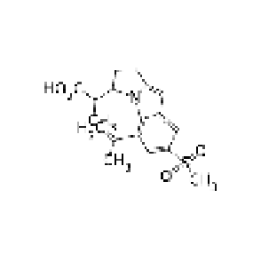 C=C(C)c1cc(S(C)(=O)=O)cc2cc3n(c12)C(C(C)C(=O)O)CC3